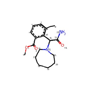 COC(=O)c1cccc(C)c1C(C(N)=O)N1CCCCCC1